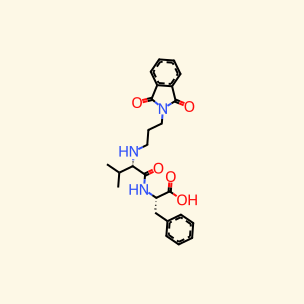 CC(C)[C@H](NCCCN1C(=O)c2ccccc2C1=O)C(=O)N[C@@H](Cc1ccccc1)C(=O)O